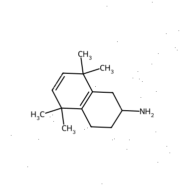 CC1(C)C=CC(C)(C)C2=C1CCC(N)C2